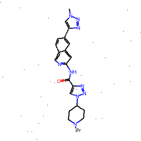 CC(C)N1CCC(n2cc(C(=O)Nc3cc4cc(-c5cn(C)nn5)ccc4cn3)nn2)CC1